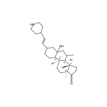 CC1CC2(O)CC(C=CC3CCNCC3)CC[C@]2(C)[C@@H]2CC[C@]3(C)C(=O)CC[C@H]3[C@H]12